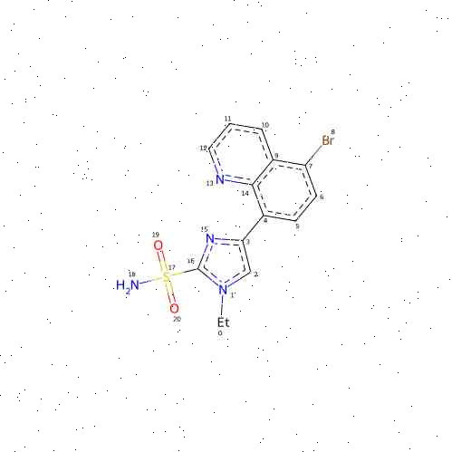 CCn1cc(-c2ccc(Br)c3cccnc23)nc1S(N)(=O)=O